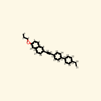 CCCOc1ccc2cc(C#Cc3ccc(-c4ccc(CC)cc4)cc3)ccc2c1